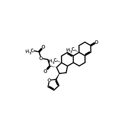 CC(=O)OCC(=O)[C@H]1[C@H](c2ccco2)CC2C3CCC4=CC(=O)CC[C@]4(C)C3=CC[C@@]21C